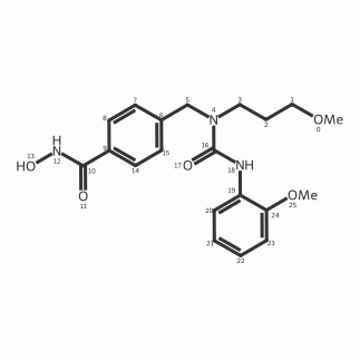 COCCCN(Cc1ccc(C(=O)NO)cc1)C(=O)Nc1ccccc1OC